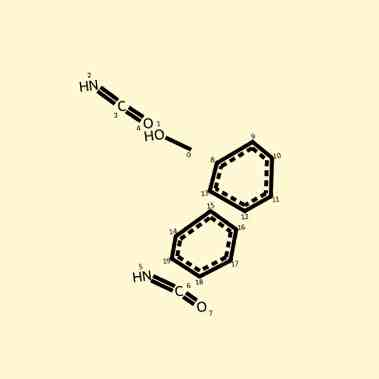 CO.N=C=O.N=C=O.c1ccccc1.c1ccccc1